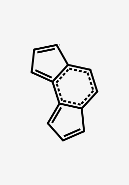 [C]1=CC=c2c1ccc1c2=CC=C1